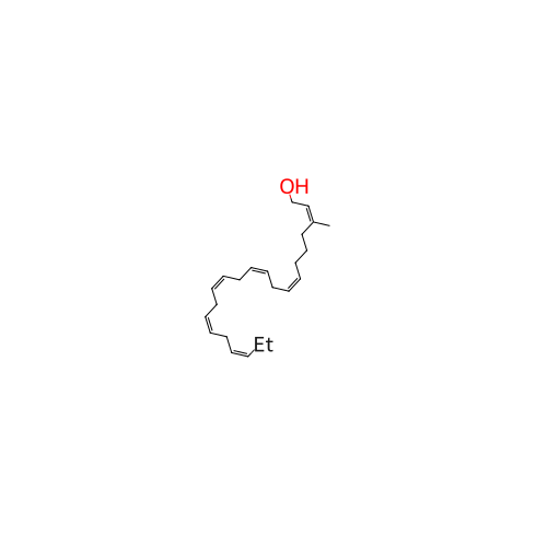 CC/C=C\C/C=C\C/C=C\C/C=C\C/C=C\CCC/C(C)=C\CO